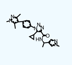 Cc1nn(C)c(C)c1-c1ccc(-n2nnc(C(=O)NC(C)c3cnn(C)c3)c2C2CC2)cc1